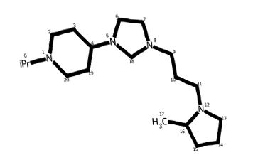 CC(C)N1CCC(N2CCN(CCCN3CCCC3C)C2)CC1